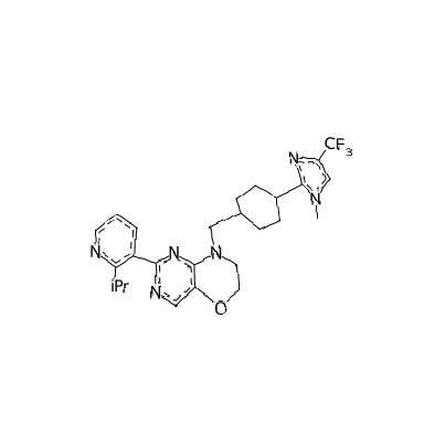 CC(C)c1ncccc1-c1ncc2c(n1)N(CC1CCC(c3nc(C(F)(F)F)cn3C)CC1)CCO2